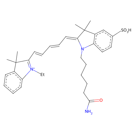 CC[N+]1=C(/C=C/C=C/C=C2\N(CCCCCC(N)=O)c3ccc(S(=O)(=O)O)cc3C2(C)C)C(C)(C)c2ccccc21